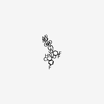 CC(NC(=O)c1ccc(F)cc1Cl)C1(N2CCN(S(=O)(=O)c3cn(C)nn3)CC2)CCC(F)(F)CC1